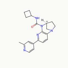 Cc1cc(-c2ccc3c(n2)N(C(=O)NC2CCC2)[C@H]2CCN3C2)ccn1